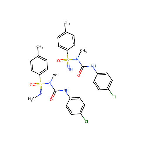 CN=S(=O)(c1ccc(C)cc1)N(C(C)=O)C(=O)Nc1ccc(Cl)cc1.Cc1ccc(S(=N)(=O)N(C)C(=O)Nc2ccc(Cl)cc2)cc1